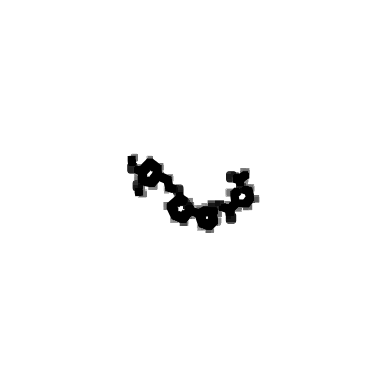 COc1ccc(CCOc2cccc(-c3cccc(NC(=O)C4CCCN(C(C)=O)C4)c3)n2)cc1OC